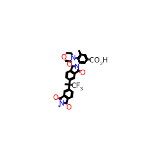 Cc1cc(C(=O)O)cc(N2C(=O)c3ccc(C(C)(c4ccc5c(c4)C(=O)N(C)C5=O)C(F)(F)F)cc3C2=O)c1N1CCOCC1